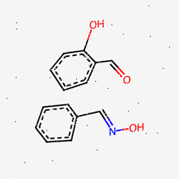 O=Cc1ccccc1O.ON=Cc1ccccc1